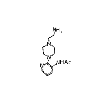 CC(=O)Nc1cccnc1N1CCN(CCN)CC1